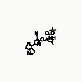 CC(C)C[C@@](C)(COc1ncc(-c2nccc3ncccc23)cc1C#N)NC(=O)OC(C)(C)C